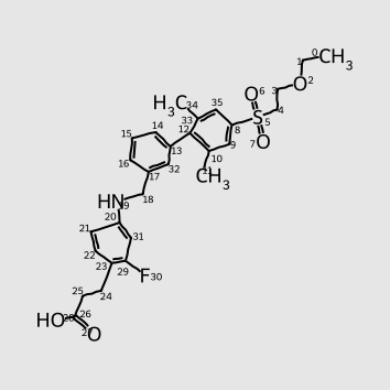 CCOCCS(=O)(=O)c1cc(C)c(-c2cccc(CNc3ccc(CCC(=O)O)c(F)c3)c2)c(C)c1